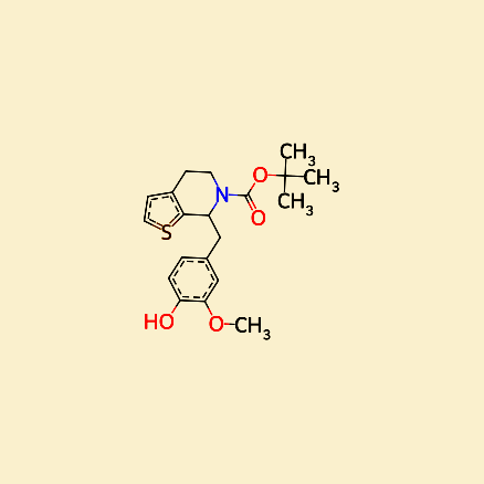 COc1cc(CC2c3sccc3CCN2C(=O)OC(C)(C)C)ccc1O